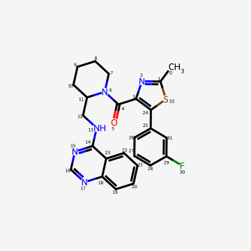 Cc1nc(C(=O)N2CCCCC2CNc2ncnc3ccccc23)c(-c2cccc(F)c2)s1